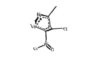 Cc1n[nH]c([N+](=O)[O-])c1Cl